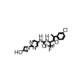 Cc1c(C(NC(=O)Nc2cnc(N3CC(O)C3)nc2)C(F)(F)F)oc2ccc(Cl)cc12